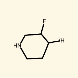 [2H]C1CCNCC1F